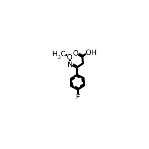 CON=C(CC(=O)O)c1ccc(F)cc1